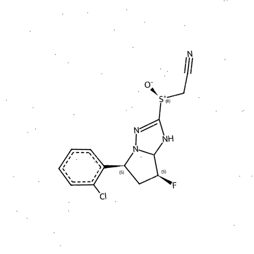 N#CC[S@+]([O-])C1=NN2C(N1)[C@@H](F)C[C@H]2c1ccccc1Cl